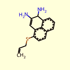 C=CCSc1ccc2cccc3c2c1C=C(N)C3N